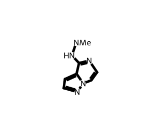 CNNc1nccn2nccc12